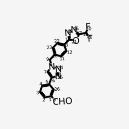 O=Cc1cccc(-c2cn(Cc3ccc(-c4nnc(C(F)F)o4)cc3)nn2)c1